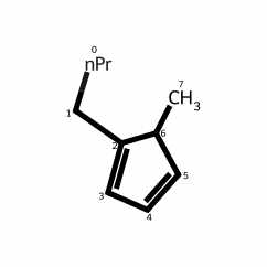 CCCCC1=CC=C[C]1C